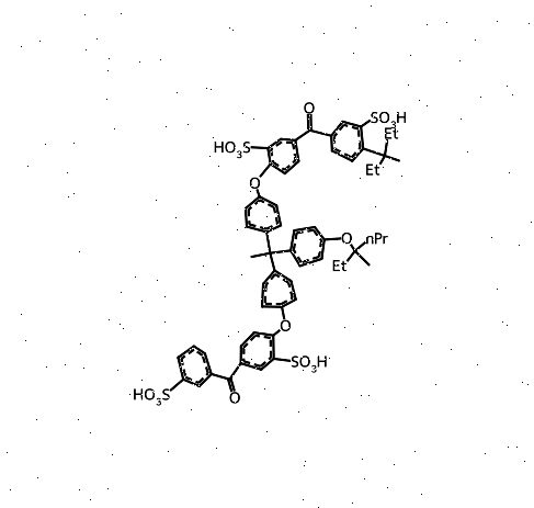 CCCC(C)(CC)Oc1ccc(C(C)(c2ccc(Oc3ccc(C(=O)c4cccc(S(=O)(=O)O)c4)cc3S(=O)(=O)O)cc2)c2ccc(Oc3ccc(C(=O)c4ccc(C(C)(CC)CC)c(S(=O)(=O)O)c4)cc3S(=O)(=O)O)cc2)cc1